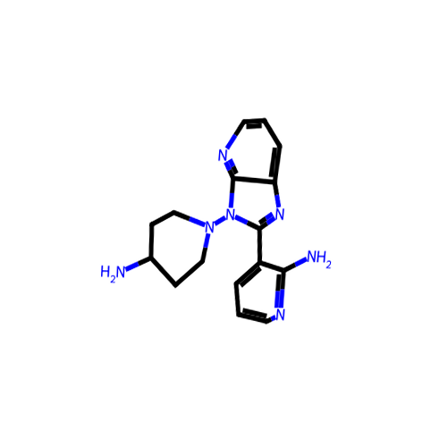 Nc1ncccc1-c1nc2cccnc2n1N1CCC(N)CC1